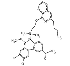 CCCCc1cc2ccccc2c(OCC[N+](C)(C)[C@@H](C(=O)OC)c2ccc(C(N)=O)cc2-c2ccc(Cl)c(Cl)c2)n1